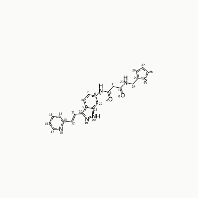 O=C(CC(=O)Nc1ccc2c(C=Cc3ccccn3)n[nH]c2c1)NCc1cccs1